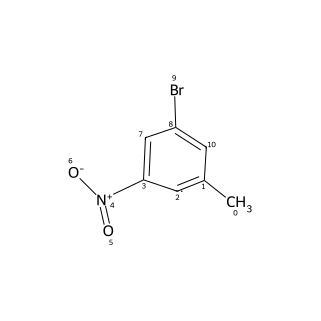 Cc1[c]c([N+](=O)[O-])cc(Br)c1